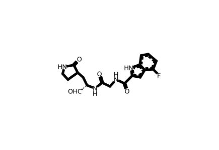 O=C[C@H](CC1CCNC1=O)NC(=O)CNC(=O)c1cc2c(F)cccc2[nH]1